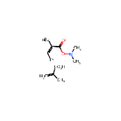 C=C(C)C(=O)O.CCC=C(CCCC)C(=O)ON(C)C